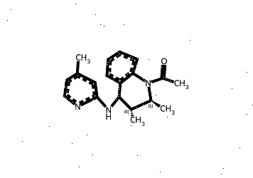 CC(=O)N1c2ccccc2C(Nc2cc(C)ccn2)[C@@H](C)[C@@H]1C